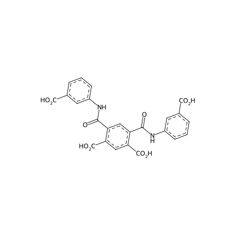 O=C(O)c1cccc(NC(=O)c2cc(C(=O)Nc3cccc(C(=O)O)c3)c(C(=O)O)cc2C(=O)O)c1